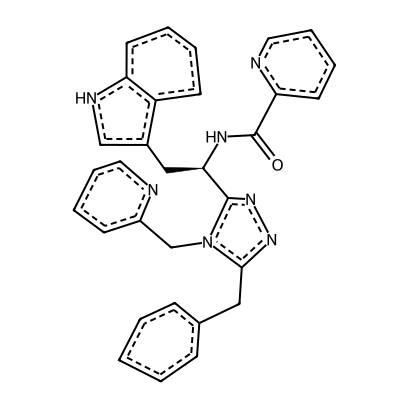 O=C(N[C@H](Cc1c[nH]c2ccccc12)c1nnc(Cc2ccccc2)n1Cc1ccccn1)c1ccccn1